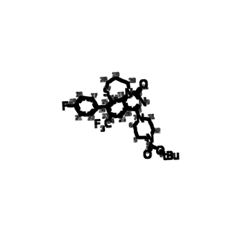 CC(C)(C)OC(=O)N1CCN(c2nc(=O)n3c4c(c(-c5ccc(F)cc5)c(C(F)(F)F)cc24)SCCC3)CC1